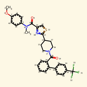 COc1ccc(N(C)C(=O)c2csc(C3CCN(C(=O)c4ccccc4-c4ccc(C(F)(F)F)cc4)CC3)n2)cc1